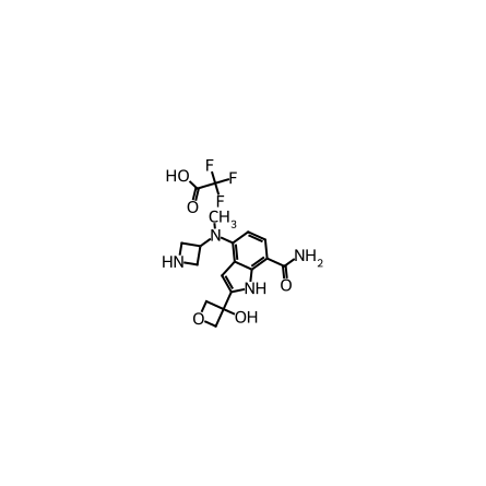 CN(c1ccc(C(N)=O)c2[nH]c(C3(O)COC3)cc12)C1CNC1.O=C(O)C(F)(F)F